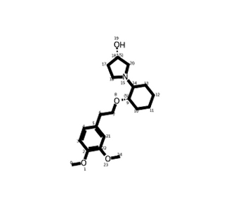 COc1ccc(CCO[C@H]2CCCCC2N2CC[C@H](O)C2)cc1OC